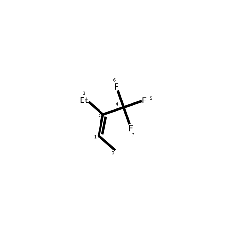 C/[C]=C(/CC)C(F)(F)F